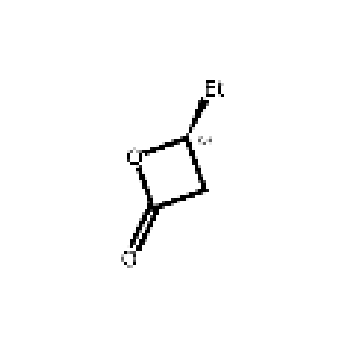 CC[C@H]1CC(=O)O1